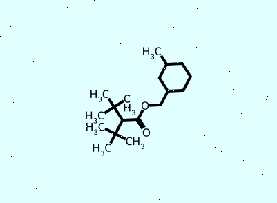 CC1CCCC(COC(=O)C(C(C)(C)C)C(C)(C)C)C1